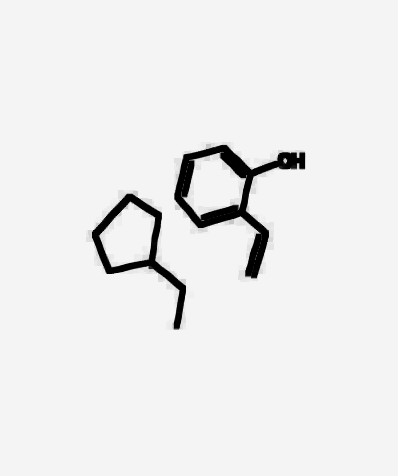 C=Cc1ccccc1O.CC[C]1CCCC1